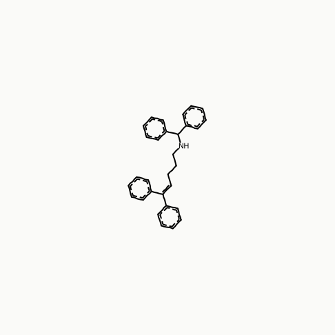 C(CCCNC(c1ccccc1)c1ccccc1)=C(c1ccccc1)c1ccccc1